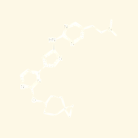 CN(C)CCc1cnc(Nc2ncc(-c3ccnc(OC4CCC5(CC4)CC5)n3)s2)nc1